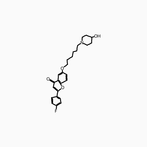 O=c1cc(-c2ccc(F)cc2)oc2ccc(OCCCCCCN3CCC(O)CC3)cc12